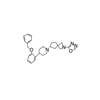 c1ccc(COc2ccccc2C2CCN([C@@H]3CCC4(C3)CN(c3nnco3)C4)CC2)cc1